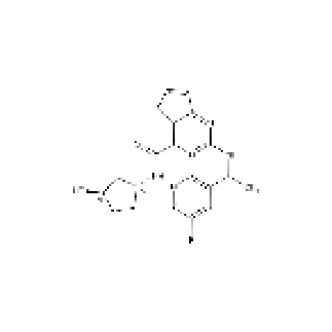 CC(Nc1nc(C(=O)N[C@@H]2CC[C@@H](O)C2)c2sccc2n1)c1cncc(F)c1